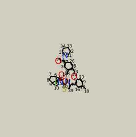 COC(=O)C1(F)C2CCC1CN(c1nc(-c3cc(C)ccc3OCc3ccc(C(=O)N4CCCCC4)cc3C)cs1)C2